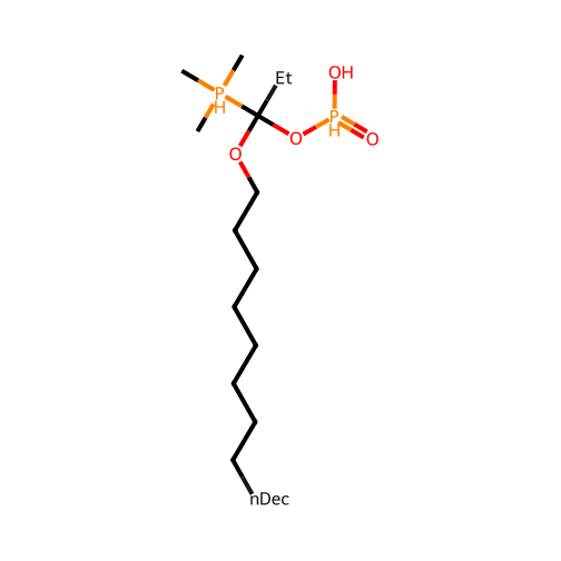 CCCCCCCCCCCCCCCCCCOC(CC)(O[PH](=O)O)[PH](C)(C)C